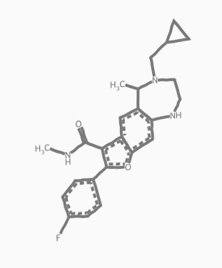 CNC(=O)c1c(-c2ccc(F)cc2)oc2cc3c(cc12)C(C)N(CC1CC1)CCN3